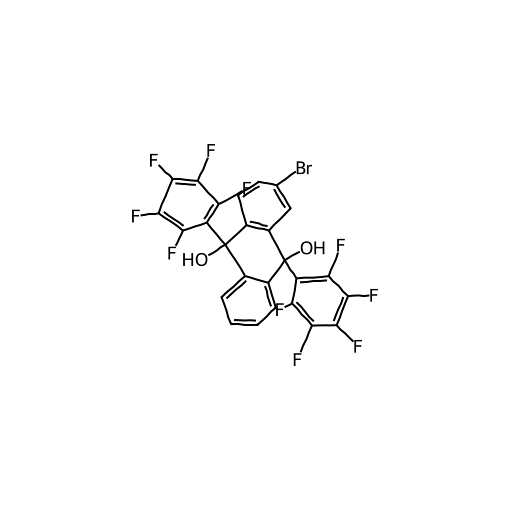 OC1(c2c(F)c(F)c(F)c(F)c2F)c2ccccc2C(O)(c2c(F)c(F)c(F)c(F)c2F)c2cc(Br)ccc21